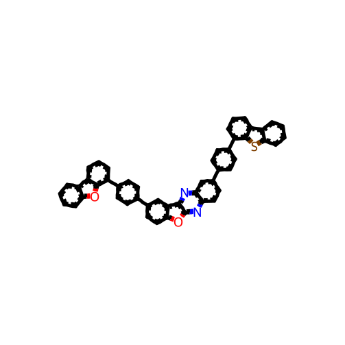 c1ccc2c(c1)oc1c(-c3ccc(-c4ccc5oc6nc7ccc(-c8ccc(-c9cccc%10c9sc9ccccc9%10)cc8)cc7nc6c5c4)cc3)cccc12